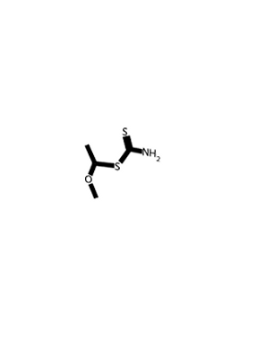 COC(C)SC(N)=S